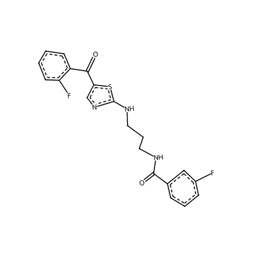 O=C(NCCCNc1ncc(C(=O)c2ccccc2F)s1)c1cccc(F)c1